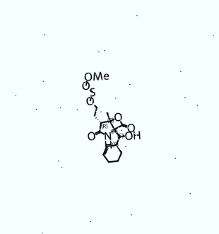 COOSOCC[C@H]1C(=O)N[C@@]2([C@@H](O)[C@@H]3C=CCCC3)C(=O)O[C@@]12C